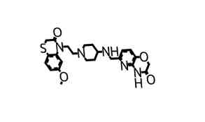 COc1ccc2c(c1)N(CCN1CCC(NCc3ccc4c(n3)NC(=O)CO4)CC1)C(=O)CS2